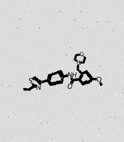 CCc1nc(-c2ccc(NC(=O)c3ccc(OC)cc3CN3CCOCC3)cc2)cs1